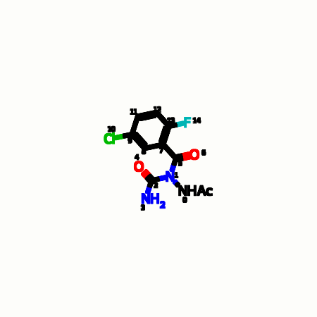 CC(=O)NN(C(N)=O)C(=O)c1cc(Cl)ccc1F